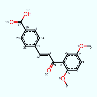 COc1ccc(OC)c(C(=O)C=Cc2ccc(C(=O)O)cc2)c1